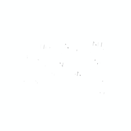 Nc1nc(CC(=O)O)nc2c1nc(O)n2Cc1ccccc1